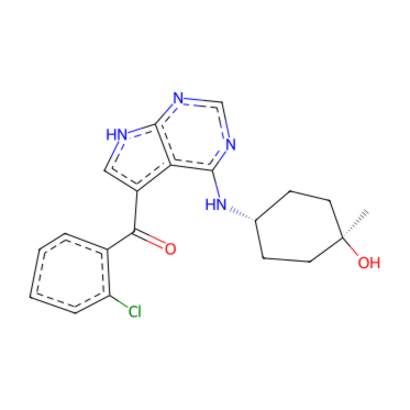 C[C@]1(O)CC[C@H](Nc2ncnc3[nH]cc(C(=O)c4ccccc4Cl)c23)CC1